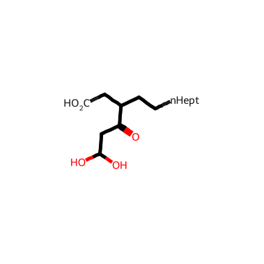 CCCCCCCCCC(CC(=O)O)C(=O)CC(O)O